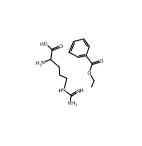 CCOC(=O)c1ccccc1.N=C(N)NCCCC(N)C(=O)O